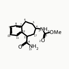 COC(=O)NC1CCc2cc[c]cc2C(C(N)=O)C1